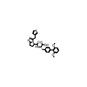 COc1cccc(OC)c1-c1ccc(C[C@H](NC(=O)C2CCc3nnc(Cc4ccsc4)n32)C(=O)O)cc1